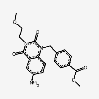 COCCn1c(=O)c2cc(N)ccc2n(Cc2ccc(C(=O)OC)cc2)c1=O